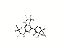 BC1(O)C(F)=C(c2nc(N[C@H](C)C(F)(F)F)nc(N[C@H](C)C(F)(F)F)n2)CCC1(F)F